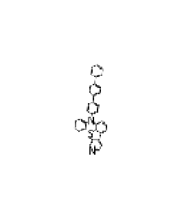 c1ccc(-c2ccc(-c3ccc(N(c4ccccc4)c4cccc5c4sc4cnccc45)cc3)cc2)cc1